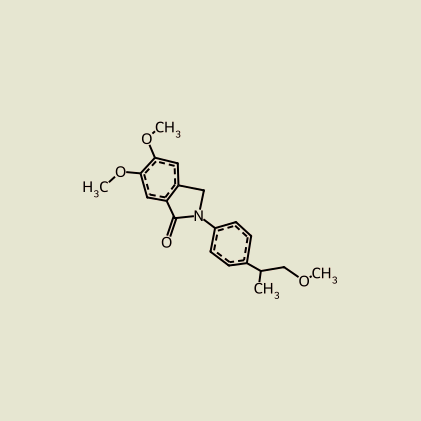 COCC(C)c1ccc(N2Cc3cc(OC)c(OC)cc3C2=O)cc1